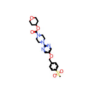 CS(=O)(=O)c1ccc(COc2cnc(N3CCN(C(=O)OC4CCOCC4)CC3)nc2)cc1